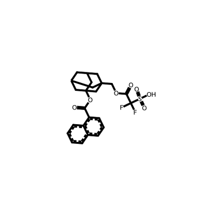 O=C(OC12CC3CC(CC(COC(=O)C(F)(F)S(=O)(=O)O)(C3)C1)C2)c1cccc2ccccc12